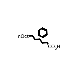 CCCCCCCCCCCCCC(=O)O.c1ccccc1